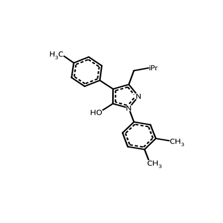 Cc1ccc(-c2c(CC(C)C)nn(-c3ccc(C)c(C)c3)c2O)cc1